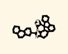 c1ccc2c(c1)-c1ccccc1C21c2ccccc2-n2c(-c3ccc4c(ccc5ccccc54)c3)nc3cccc1c32